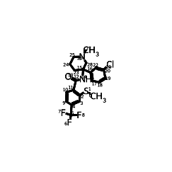 CSc1cc(C(F)(F)F)ccc1C(=O)NC1(c2cccc(Cl)c2)CCCN(C)C1